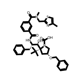 Cc1csc(CN(C)C(=O)c2cccc(C(=O)N[C@@H](Cc3ccccc3)[C@H](O)[C@]3(C(C)(C)C)C[C@@H](OCc4ccccc4)CN3C(=O)O)c2)n1